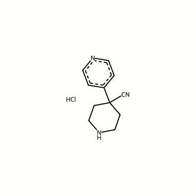 Cl.N#CC1(c2ccncc2)CCNCC1